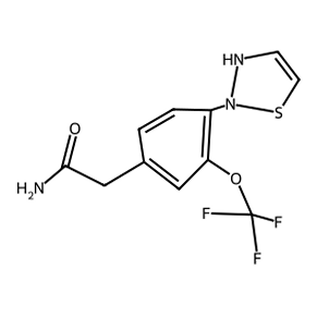 NC(=O)Cc1ccc(N2NC=CS2)c(OC(F)(F)F)c1